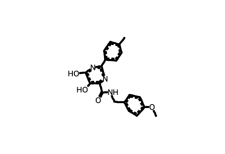 COc1ccc(CNC(=O)c2nc(-c3ccc(C)cc3)nc(O)c2O)cc1